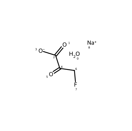 O.O=C([O-])C(=O)CF.[Na+]